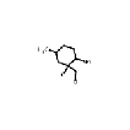 CC1CCC(C(C)C)C(O)(CCl)C1